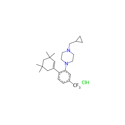 CC1(C)C=C(c2ccc(C(F)(F)F)cc2N2CCN(CC3CC3)CC2)CC(C)(C)C1.Cl